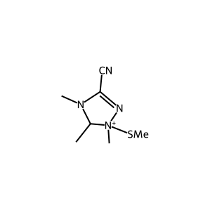 CS[N+]1(C)N=C(C#N)N(C)C1C